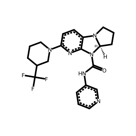 O=C(Nc1cccnc1)N1c2nc(N3CCCC(C(F)(F)F)C3)ccc2N2CCC[C@H]21